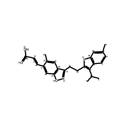 Cc1ccc2c(C(C)C)c(CCc3noc4cc(/C=C/C(=O)O)c(C)cc34)sc2c1